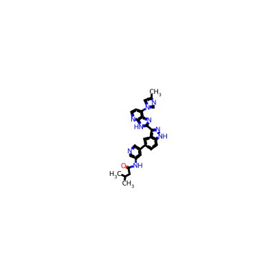 Cc1cn(-c2ccnc3[nH]c(-c4n[nH]c5ccc(-c6cncc(NC(=O)CC(C)C)c6)cc45)nc23)cn1